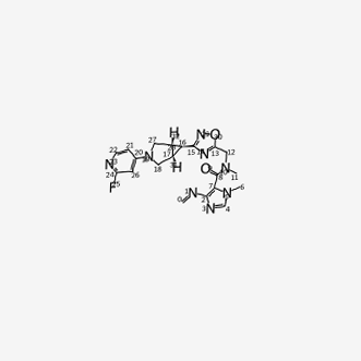 C=Nc1ncn(C)c1C(=O)N(C)Cc1nc([C@H]2[C@@H]3CN(c4ccnc(F)c4)C[C@@H]32)no1